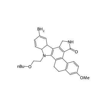 BC1=CC2c3c4c(c5c(c3N(CCOCCCC)C2C=C1)CCc1cc(OC)ccc1-5)C(=O)NC4